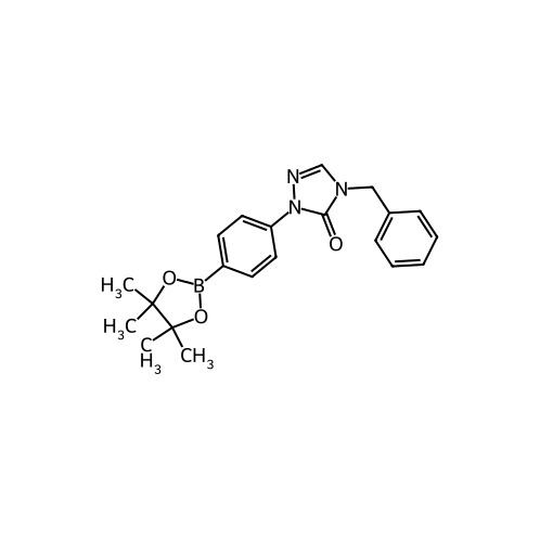 CC1(C)OB(c2ccc(-n3ncn(Cc4ccccc4)c3=O)cc2)OC1(C)C